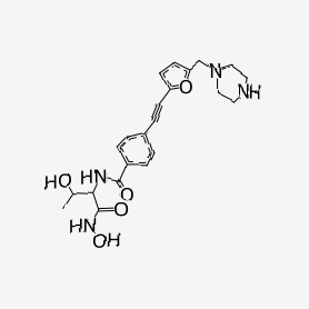 CC(O)C(NC(=O)c1ccc(C#Cc2ccc(CN3CCNCC3)o2)cc1)C(=O)NO